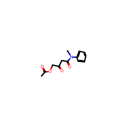 CC(=O)OCC(=O)CC(=O)N(C)c1ccccc1